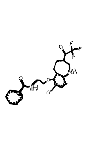 O=C(NCCOc1c(Cl)ccc2c1CCC(C(=O)C(F)(F)F)CN2)c1ccccc1